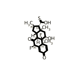 C[C@@H]1C[C@H]2[C@@H]3C(=O)[C@H](F)C4=CC(=O)C=C[C@]4(C)[C@@]3(F)[C@@H](O)C[C@]2(C)[C@H]1C(O)=S